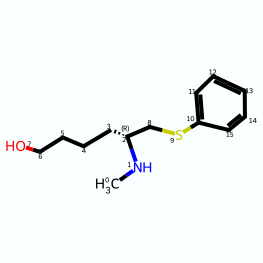 CN[C@H](CCCCO)CSc1ccccc1